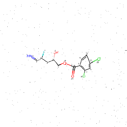 N=C[C@@H](F)C[C@H](O)COC(=O)c1ccc(Cl)cc1Cl